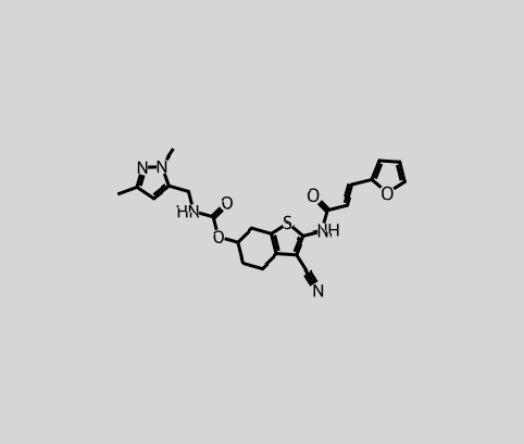 Cc1cc(CNC(=O)OC2CCc3c(sc(NC(=O)C=Cc4ccco4)c3C#N)C2)n(C)n1